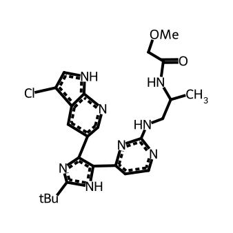 COCC(=O)NC(C)CNc1nccc(-c2[nH]c(C(C)(C)C)nc2-c2cnc3[nH]cc(Cl)c3c2)n1